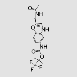 CC(=O)NC[C@H]1CNc2cc(NC(=O)OC(C)(C)C(F)(F)F)ccc2O1